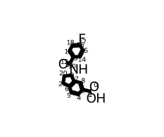 O=C(O)c1ccc2c(c1)C(NC(=O)c1ccc(F)cc1)CC2